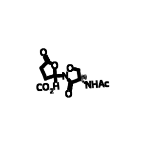 CC(=O)N[C@H]1CON(C2(C(=O)O)CCC(=O)O2)C1=O